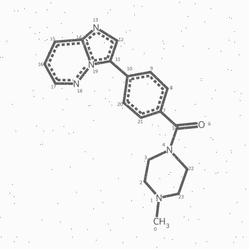 CN1CCN(C(=O)c2ccc(-c3cnc4cccnn34)cc2)CC1